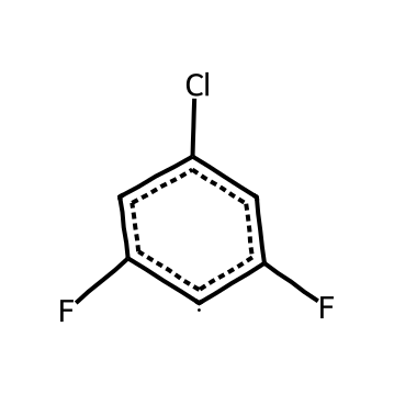 Fc1[c]c(F)cc(Cl)c1